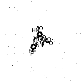 CCON(C1COC(=O)C1)S(=O)(=O)c1ccc(NC(C)=O)cc1O[C@H](C)Cn1cnc2cc(C(F)(F)F)ccc21